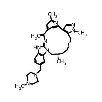 C=C1/N=C2\Nc3ccc(CN4CCN(C)CC4)cc3N2C[C@H](C)CCCCc2c(cnn2C)-c2cc1cc(C)n2